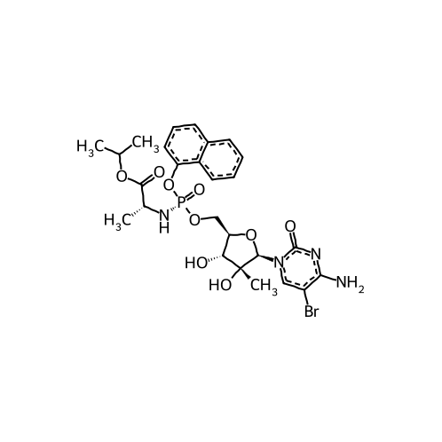 CC(C)OC(=O)[C@@H](C)N[P@](=O)(OC[C@H]1O[C@@H](n2cc(Br)c(N)nc2=O)[C@](C)(O)[C@@H]1O)Oc1cccc2ccccc12